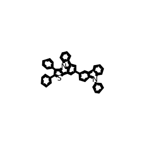 c1ccc(-c2sc3c4cc(-c5ccc6c(c5)c5ccccc5n6-c5ccccc5)cc5c6ccccc6n(c3c2-c2ccccc2)c54)cc1